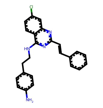 Nc1ccc(CCNc2nc(C=Cc3ccccc3)nc3cc(Cl)ccc23)cc1